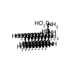 N=C(N)NCCCC[C@@H](N)C(=O)O.N=C(N)NCCCC[C@@H](N)C(=O)O.N=C(N)NCCCC[C@@H](N)C(=O)O.N=C(N)NCCCC[C@@H](N)C(=O)O.N=C(N)NCCCC[C@H](N)C(=O)O.N=C(N)NCCCC[C@H](N)C(=O)O.N=C(N)NCCCC[C@H](N)C(=O)O.N=C(N)NCCCC[C@H](N)C(=O)O.N=C(N)NCCCC[C@H](N)C(=O)O